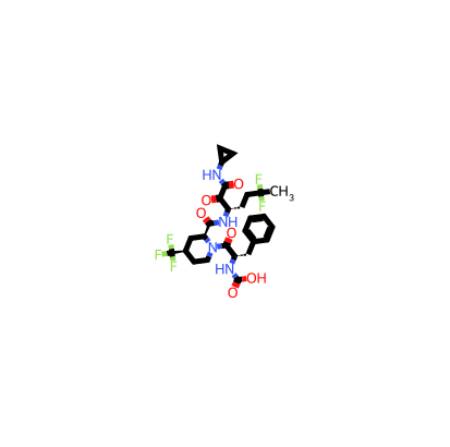 CC(F)(F)CC[C@H](NC(=O)[C@@H]1C[C@H](C(F)(F)F)CCN1C(=O)[C@H](Cc1ccccc1)NC(=O)O)C(=O)C(=O)NC1CC1